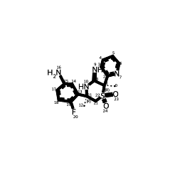 C[C@@]1(c2ccccn2)C(=N)N[C@](C)(c2cc(N)ccc2F)CS1(=O)=O